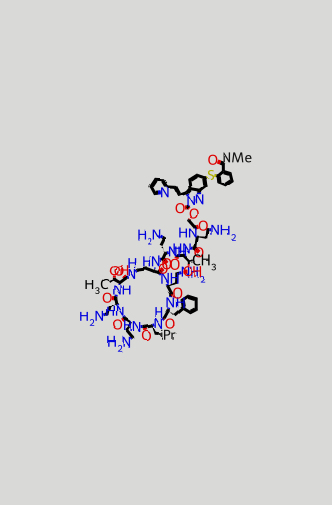 CNC(=O)c1ccccc1Sc1ccc2c(/C=C/c3ccccn3)n(C(=O)OCC(=O)N[C@@H](CCN)C(=O)N[C@H](C(=O)N[C@@H](CCN)C(=O)N[C@H]3CCNC(=O)[C@H]([C@@H](C)O)NC(=O)[C@H](CCN)NC(=O)[C@H](CCN)NC(=O)[C@H](CC(C)C)NC(=O)[C@@H](Cc4ccccc4)NC(=O)[C@H](CCN)NC3=O)[C@@H](C)O)nc2c1